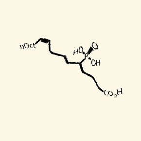 CCCCCCCC/C=C\CCCC(CCCC(=O)O)P(=O)(O)O